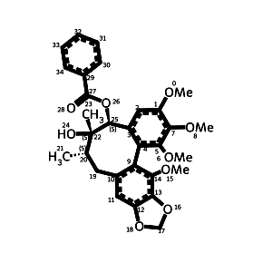 COc1cc2c(c(OC)c1OC)-c1c(cc3c(c1OC)OCO3)C[C@H](C)[C@](C)(O)[C@H]2OC(=O)c1ccccc1